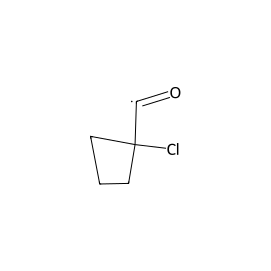 O=[C]C1(Cl)CCC1